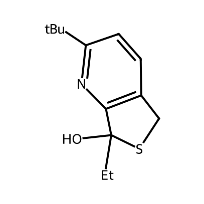 CCC1(O)SCc2ccc(C(C)(C)C)nc21